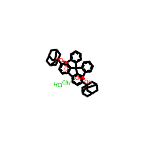 Cl.Cl.O=C(O)c1ccccc1C1(c2ccccc2C(=O)O)c2cc(C34CC5CC(CC(C5)C3)C4)ccc2-c2ccc(C34CC5CC(CC(C5)C3)C4)cc21